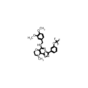 COc1ccc(CNc2nn3c(-c4cccc(OC(F)(F)F)c4)nnc3c3c2OCCN3C)cc1OC